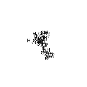 CC(C)(C)OC(=O)N(Cc1cn(C(=O)OC(C)(C)C)c2cc(CNC(=O)c3cc(=O)n4ccccc4n3)ccc12)CC1CCC1